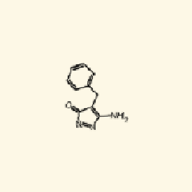 NC1=C(Cc2ccccc2)C(=O)N=N1